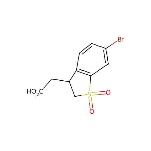 O=C(O)CC1CS(=O)(=O)c2cc(Br)ccc21